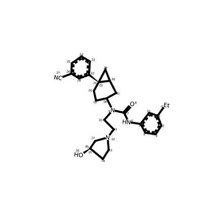 CCc1cccc(NC(=O)N(CCN2CC[C@@H](O)C2)C2CC[C@]3(c4cccc(C#N)c4)CC3C2)c1